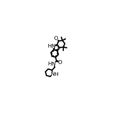 CC1(C)CC(C)(C)c2c([nH]c3ccc(C(=O)NCC4CCCCN4)cc23)C1=O